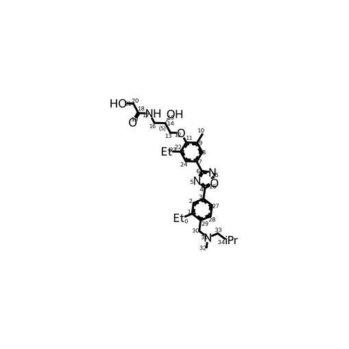 CCc1cc(-c2nc(-c3cc(C)c(OC[C@@H](O)CNC(=O)CO)c(CC)c3)no2)ccc1CN(C)CC(C)C